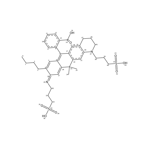 CCCCC1=CC2=C(c3ccccc3C(=O)O)c3cc4c(cc3C(C)(C)C2=C/C1=N\CCCS(=O)(=O)O)N(CCCS(=O)(=O)O)CCC4